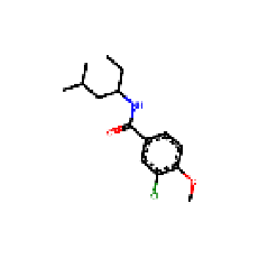 CCC(CC(C)C)NC(=O)c1ccc(OC)c(Cl)c1